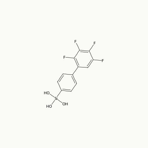 O[Si](O)(O)c1ccc(-c2cc(F)c(F)c(F)c2F)cc1